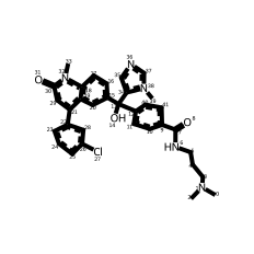 CN(C)CCCNC(=O)c1ccc(C(O)(c2ccc3c(c2)c(-c2cccc(Cl)c2)cc(=O)n3C)c2cncn2C)cc1